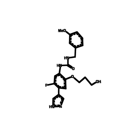 COc1cccc(CNC(=O)Nc2cc(F)c(-c3cn[nH]c3)cc2OCCCO)c1